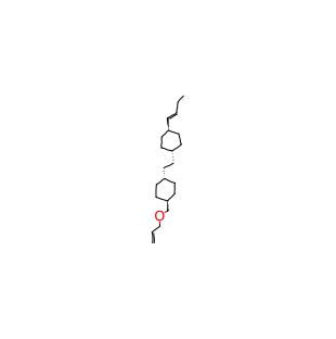 C=CCOC[C@H]1CC[C@H](CC[C@H]2CC[C@H](C=CCC)CC2)CC1